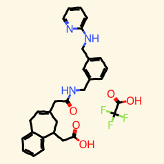 O=C(O)C(F)(F)F.O=C(O)CC1CC(CC(=O)NCc2cccc(CNc3ccccn3)c2)=CCc2ccccc21